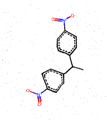 C[C](c1ccc([N+](=O)[O-])cc1)c1ccc([N+](=O)[O-])cc1